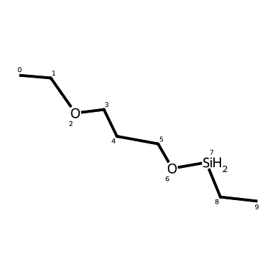 CCOCCCO[SiH2]CC